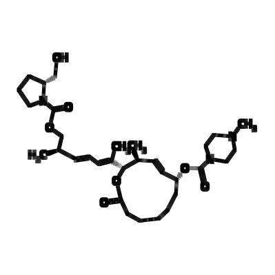 C/C(=C\C=C\[C@@H](C)COC(=O)N1CCC[C@@H]1CO)[C@H]1OC(=O)CCCCC[C@@H](OC(=O)N2CCN(C)CC2)/C=C/[C@@H]1C